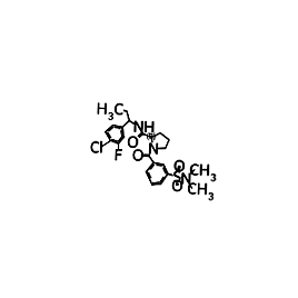 CCC(NC(=O)[C@H]1CCCN1C(=O)c1cccc(S(=O)(=O)N(C)C)c1)c1ccc(Cl)c(F)c1